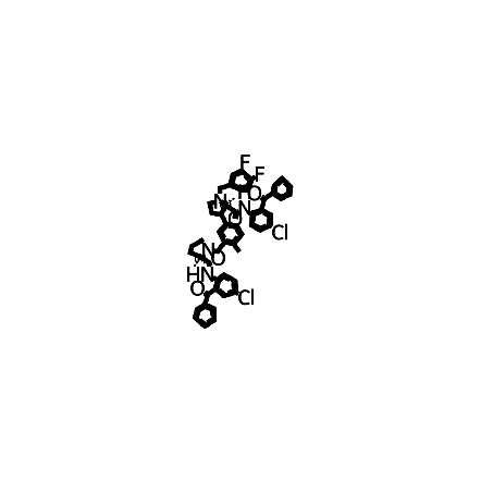 Cc1ccc(C2CCN(Cc3ccc(F)c(F)c3)[C@@]2(C)C(=O)Nc2ccc(Cl)cc2C(=O)c2ccccc2)cc1CN1CCC[C@]1(C)C(=O)Nc1ccc(Cl)cc1C(=O)c1ccccc1